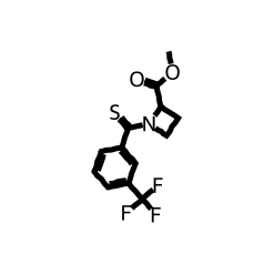 COC(=O)C1CCN1C(=S)c1cccc(C(F)(F)F)c1